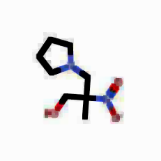 CC(CO)(CN1CCCC1)[N+](=O)[O-]